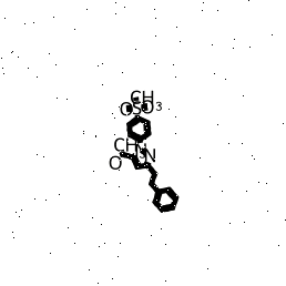 CC(=O)c1cc(CCc2ccccc2)nn1-c1ccc(S(C)(=O)=O)cc1